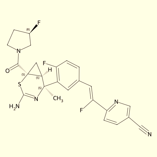 C[C@]1(c2cc(C=C(F)c3ccc(C#N)cn3)ccc2F)N=C(N)S[C@@]2(C(=O)N3CC[C@@H](F)C3)C[C@H]21